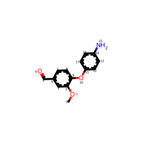 COc1cc(C=O)ccc1Oc1ccc(N)cc1